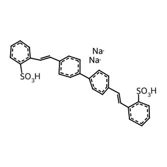 O=S(=O)(O)c1ccccc1C=Cc1ccc(-c2ccc(C=Cc3ccccc3S(=O)(=O)O)cc2)cc1.[Na].[Na]